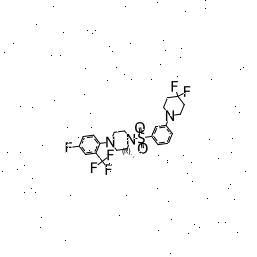 C[C@@H]1CN(c2ccc(F)cc2C(F)(F)F)CCN1S(=O)(=O)c1cccc(N2CCC(F)(F)CC2)c1